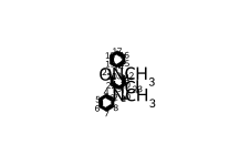 CCN(c1ccccc1)c1cc(C)n(-c2ccccc2)c(=O)c1.Cl